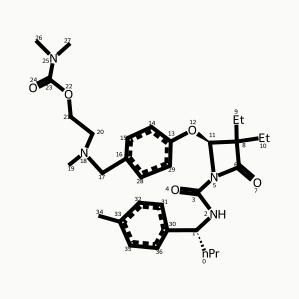 CCC[C@@H](NC(=O)N1C(=O)C(CC)(CC)[C@@H]1Oc1ccc(CN(C)CCOC(=O)N(C)C)cc1)c1ccc(C)cc1